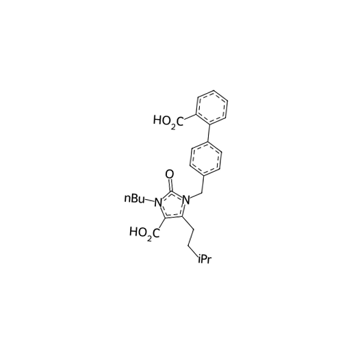 CCCCn1c(C(=O)O)c(CCC(C)C)n(Cc2ccc(-c3ccccc3C(=O)O)cc2)c1=O